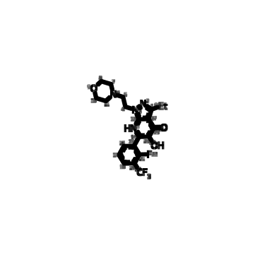 CCc1nn(CCN2CCOCC2)c2[nH]c(-c3cccc(C(F)(F)F)c3F)c(O)c(=O)c12